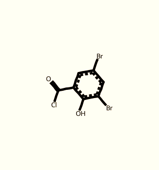 O=C(Cl)c1cc(Br)cc(Br)c1O